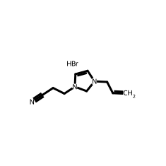 Br.C=CCN1C=CN(CCC#N)C1